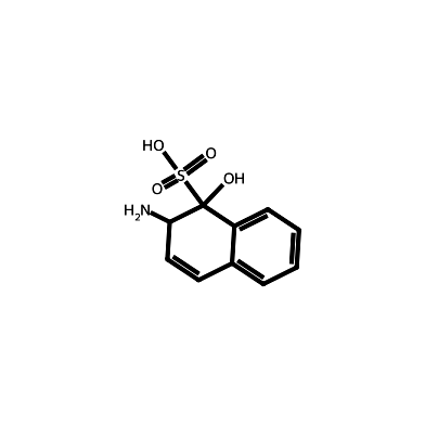 NC1C=Cc2ccccc2C1(O)S(=O)(=O)O